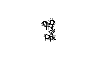 O=C(Cn1nc(C(F)(F)F)c2c1CCCC2)NCc1ccccc1Oc1ccccn1